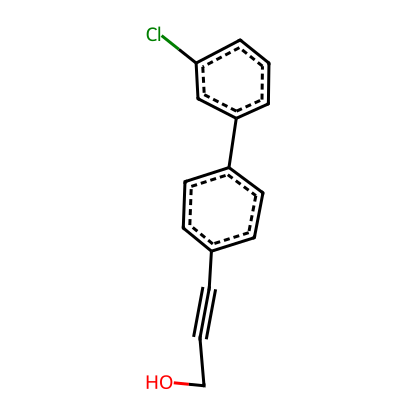 OCC#Cc1ccc(-c2cccc(Cl)c2)cc1